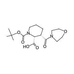 CC(C)(C)OC(=O)N1CCC[C@H](C(=O)N2CCOCC2)[C@@H]1C(=O)O